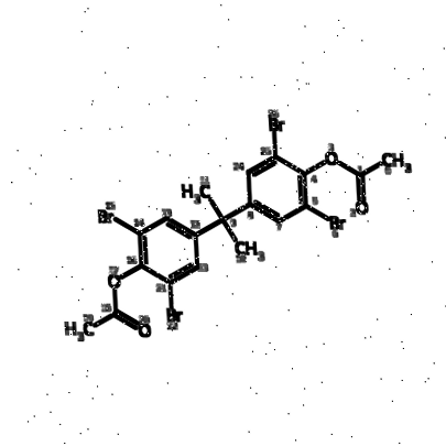 CC(=O)Oc1c(Br)cc(C(C)(C)c2cc(Br)c(OC(C)=O)c(Br)c2)cc1Br